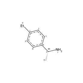 CCc1ccc([C@@H](C)N)cc1